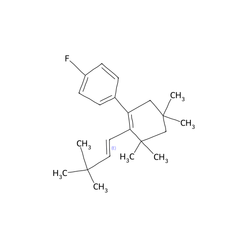 CC(C)(C)/C=C/C1=C(c2ccc(F)cc2)CC(C)(C)CC1(C)C